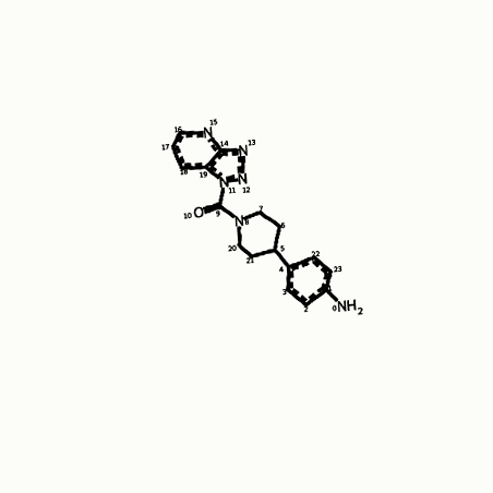 Nc1ccc(C2CCN(C(=O)n3nnc4ncccc43)CC2)cc1